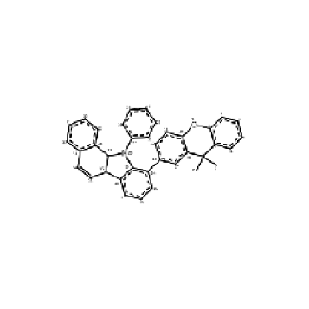 CC1(C)c2ccccc2Oc2ccc(-c3cccc4c3N(c3ccccc3)C3c5ccccc5C=CC43)cc21